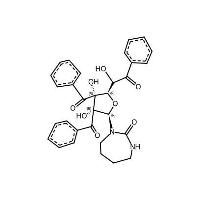 O=C(c1ccccc1)C(O)[C@H]1O[C@@H](N2CCCCNC2=O)[C@@](O)(C(=O)c2ccccc2)[C@@]1(O)C(=O)c1ccccc1